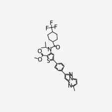 COC(=O)c1sc(-c2ccc(-c3cc4nc(C)ccn4n3)cc2)cc1N(C(=O)C1CCC(C(F)(F)F)CC1)C(C)C